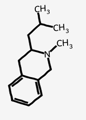 CC(C)CC1Cc2ccccc2CN1C